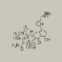 CN(C)[C@H]1C(O)=C(C(N)=O)C(=O)[C@]2(O)C(O)=C3C(=O)c4c(O)ccc(-c5ccc(CNC(C)(C)C)o5)c4C[C@@H]3C[C@H]12